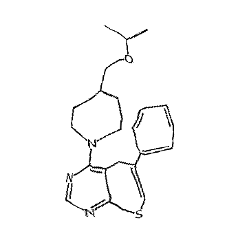 CC(C)OCC1CCN(c2ncnc3scc(-c4ccccc4)c23)CC1